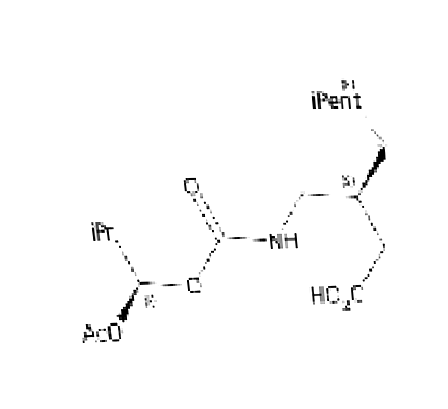 CCC[C@@H](C)C[C@H](CNC(=O)O[C@@H](OC(C)=O)C(C)C)CC(=O)O